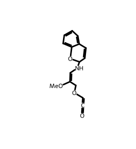 COC(=CNC1C=Cc2ccccc2O1)COC=C=O